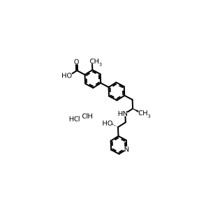 Cc1cc(-c2ccc(C[C@@H](C)NC[C@@H](O)c3cccnc3)cc2)ccc1C(=O)O.Cl.Cl